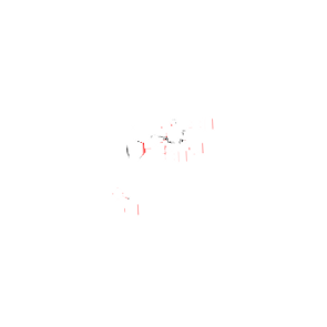 C[C@@H]1O[C@](O)([C@@H]2CCCc3ccc(CCCC(=O)O)cc32)[C@@H](O)[C@H](O)[C@@H]1O